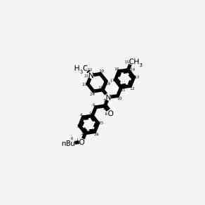 CCCCOc1ccc(CC(=O)N(Cc2ccc(C)cc2)C2CCN(C)CC2)cc1